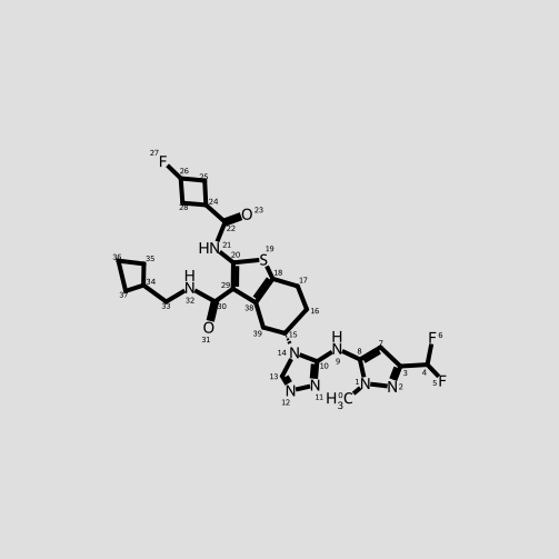 Cn1nc(C(F)F)cc1Nc1nncn1[C@H]1CCc2sc(NC(=O)C3CC(F)C3)c(C(=O)NCC3CCC3)c2C1